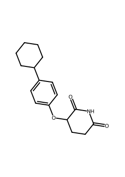 O=C1CCC(Oc2ccc(C3CCCCC3)cc2)C(=O)N1